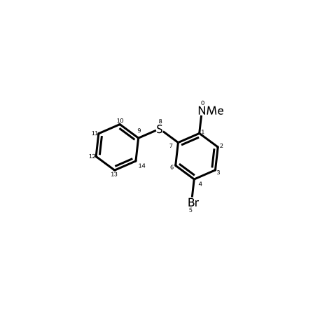 CNc1ccc(Br)cc1Sc1ccccc1